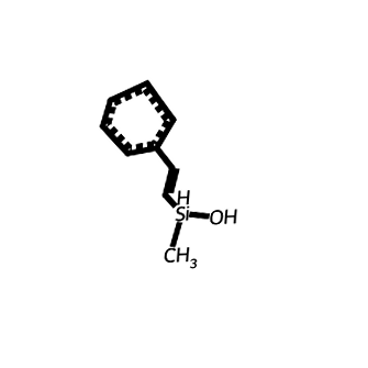 C[SiH](O)/C=C/c1ccccc1